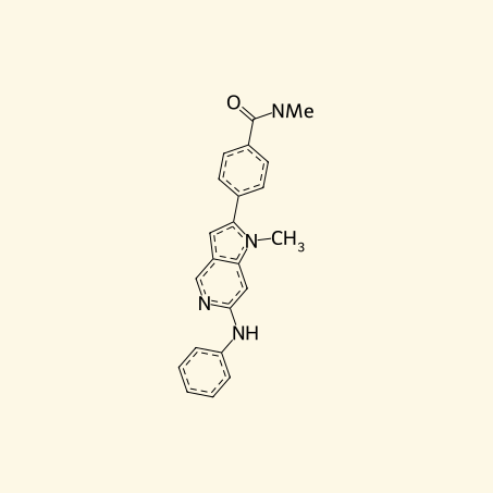 CNC(=O)c1ccc(-c2cc3cnc(Nc4ccccc4)cc3n2C)cc1